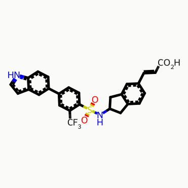 O=C(O)/C=C/c1ccc2c(c1)CC(NS(=O)(=O)c1ccc(-c3ccc4[nH]ccc4c3)cc1C(F)(F)F)C2